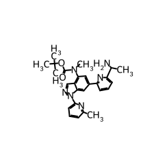 Cc1cccc(-n2ncc3c(N(C)C(=O)OC(C)(C)C)cc(-c4cccc(C(C)N)n4)cc32)n1